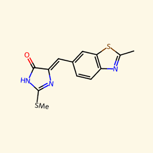 CSC1=N/C(=C\c2ccc3nc(C)sc3c2)C(=O)N1